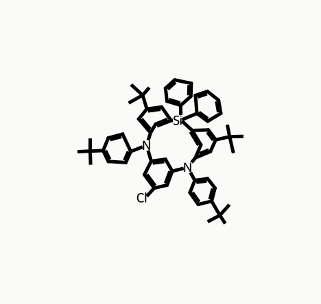 CC(C)(C)c1ccc(N2c3cc(Cl)cc(c3)N(c3ccc(C(C)(C)C)cc3)c3cc(C(C)(C)C)cc(c3)[Si](c3ccccc3)(c3ccccc3)c3cc2cc(C(C)(C)C)c3)cc1